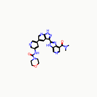 CN(C)C(=O)c1cncc2[nH]c(-c3n[nH]c4ncc(-c5cncc(NC(=O)N6CCOCC6)c5)cc34)nc12